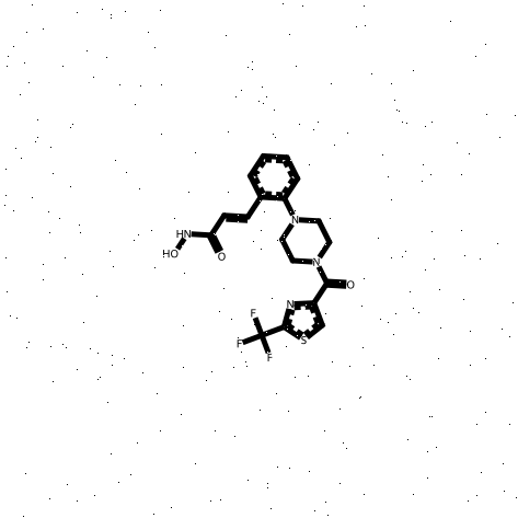 O=C(/C=C/c1ccccc1N1CCN(C(=O)c2csc(C(F)(F)F)n2)CC1)NO